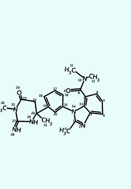 Cc1nc2cccc(C(=O)N(C)C)c2n1-c1cccc(C2(C)CC(=O)N(C)C(=N)N2)c1